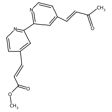 COC(=O)/C=C/c1ccnc(-c2cc(/C=C/C(C)=O)ccn2)c1